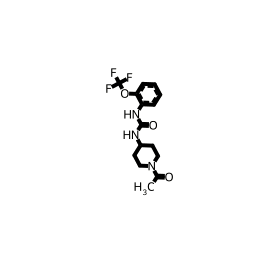 CC(=O)N1CCC(NC(=O)Nc2ccccc2OC(F)(F)F)CC1